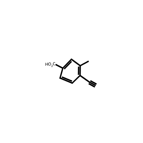 C#Cc1ccc(C(=O)O)cc1C